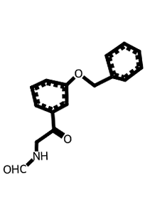 O=CNCC(=O)c1cccc(OCc2ccccc2)c1